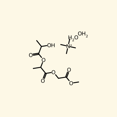 COC(=O)COC(=O)C(C)OC(=O)C(C)O.C[N+](C)(C)C.O.O